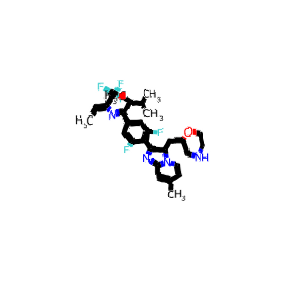 C/C=C(\N=C(\c1cc(F)c(-c2nc3cc(C)ccn3c2CC2CNCCO2)c(F)c1)C(C)C(C)C)C(F)(F)F